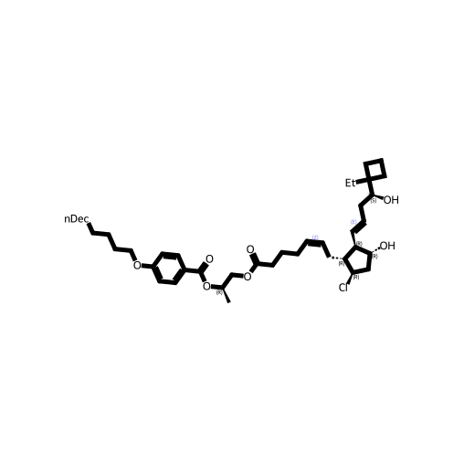 CCCCCCCCCCCCCCOc1ccc(C(=O)O[C@H](C)COC(=O)CCC/C=C\C[C@@H]2[C@@H](/C=C/C[C@H](O)C3(CC)CCC3)[C@H](O)C[C@H]2Cl)cc1